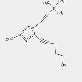 C[Si](C)(C)C#Cc1sc(C=O)nc1C#CCCCO